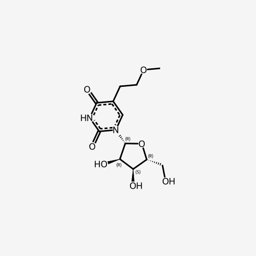 COCCc1cn([C@@H]2O[C@H](CO)[C@@H](O)[C@H]2O)c(=O)[nH]c1=O